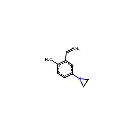 C=Cc1cc(N2CC2)ccc1C